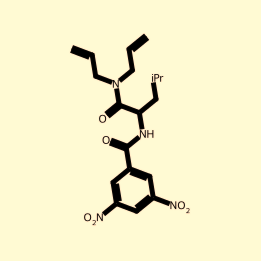 C=CCN(CC=C)C(=O)C(CC(C)C)NC(=O)c1cc([N+](=O)[O-])cc([N+](=O)[O-])c1